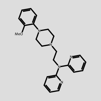 COc1ccccc1N1CCN(CCN(c2ccccn2)c2ccccn2)CC1